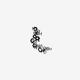 Cc1ccc2c(NS(=O)(=O)c3cccnc3)cccc2c1Oc1ncccc1-c1ccnc(NC2CCCN(C(=O)OC(C)(C)C)C2)n1